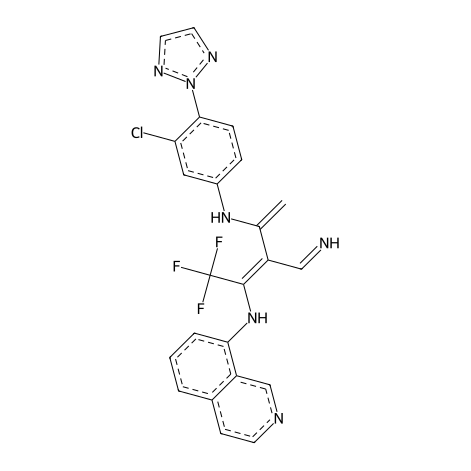 C=C(Nc1ccc(-n2nccn2)c(Cl)c1)/C(C=N)=C(/Nc1cccc2ccncc12)C(F)(F)F